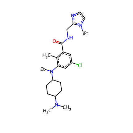 CCN(c1cc(Cl)cc(C(=O)NCc2nccn2C(C)C)c1C)C1CCC(N(C)C)CC1